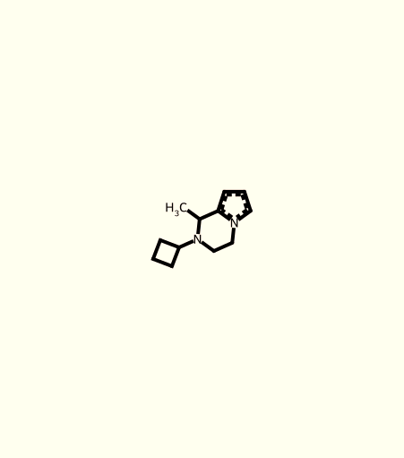 CC1c2cccn2CCN1C1CCC1